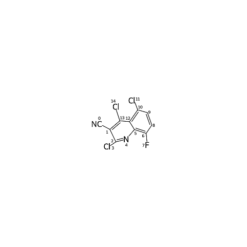 N#Cc1c(Cl)nc2c(F)ccc(Cl)c2c1Cl